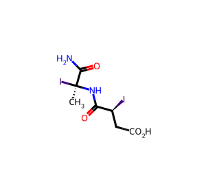 C[C@@](I)(NC(=O)[C@@H](I)CC(=O)O)C(N)=O